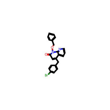 O=c1cc(Cc2ccc(Br)cc2)c2cccnc2n1OCc1ccccc1